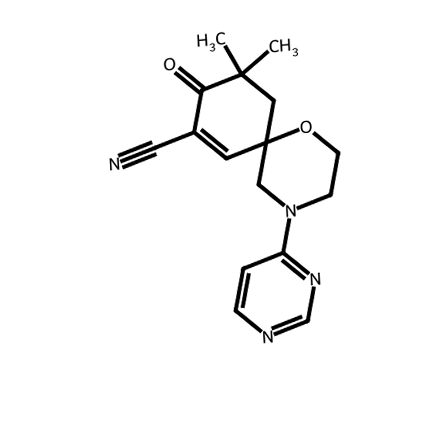 CC1(C)CC2(C=C(C#N)C1=O)CN(c1ccncn1)CCO2